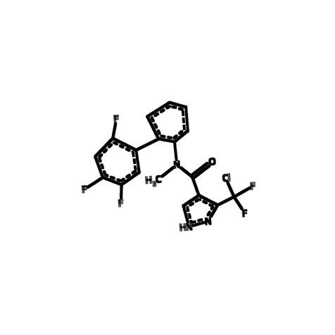 CN(C(=O)c1c[nH]nc1C(F)(F)Cl)c1ccccc1-c1cc(F)c(F)cc1F